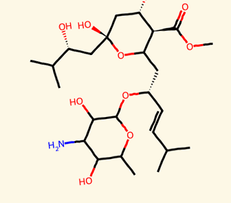 COC(=O)[C@H]1C(C[C@H](/C=C/C(C)C)OC2OC(C)C(O)C(N)C2O)O[C@](O)(C[C@@H](O)C(C)C)C[C@@H]1O